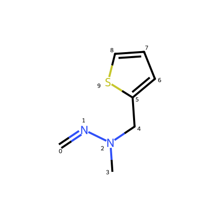 C=NN(C)Cc1cccs1